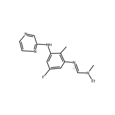 CCN(C)/C=N/c1cc(F)cc(Nc2cnccn2)c1C